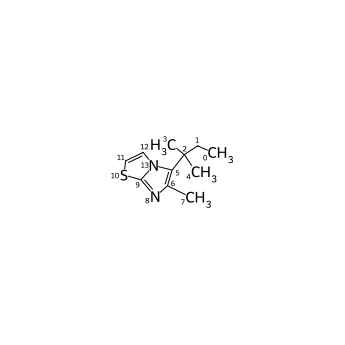 CCC(C)(C)c1c(C)nc2sccn12